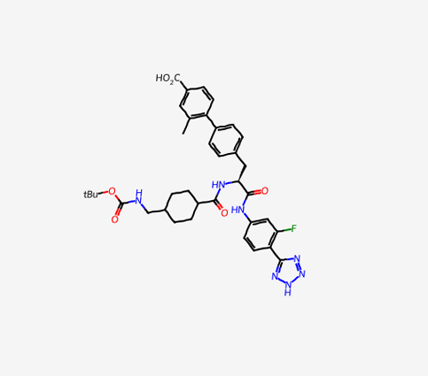 Cc1cc(C(=O)O)ccc1-c1ccc(C[C@H](NC(=O)C2CCC(CNC(=O)OC(C)(C)C)CC2)C(=O)Nc2ccc(-c3nn[nH]n3)c(F)c2)cc1